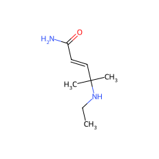 CCNC(C)(C)C=CC(N)=O